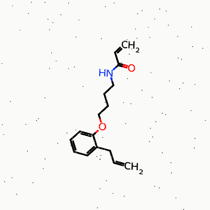 C=CCc1ccccc1OCCCCNC(=O)C=C